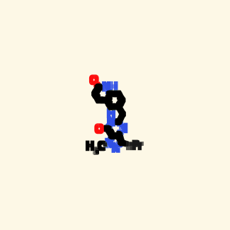 CCCc1nn(C)c2c(=O)[nH]c(Cc3ccc4[nH]c(=O)ccc4c3)nc12